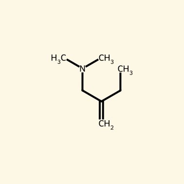 C=C(CC)CN(C)C